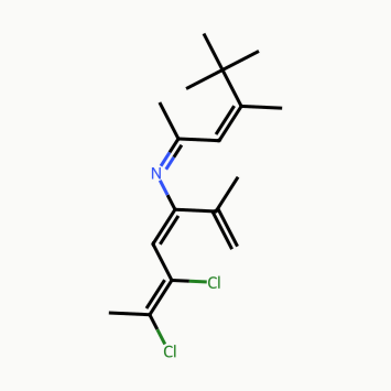 C=C(C)C(=C\C(Cl)=C(/C)Cl)/N=C(C)\C=C(\C)C(C)(C)C